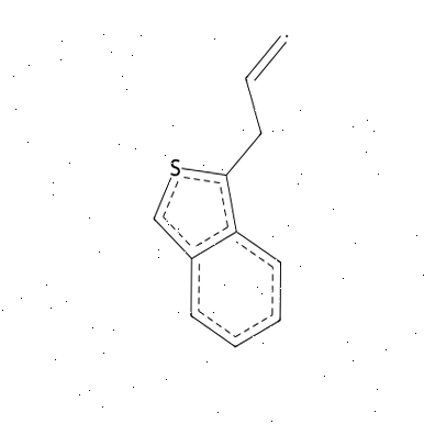 [CH]=CCc1scc2ccccc12